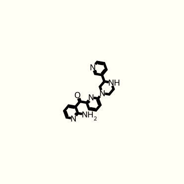 Nc1ncccc1C(=O)c1cccc(N2CCNC(c3cccnc3)C2)n1